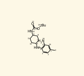 Cc1ccc(NC2CCC(NC(=O)OC(C)(C)C)CC2)c(N)c1